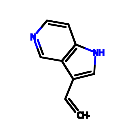 [CH]=Cc1c[nH]c2ccncc12